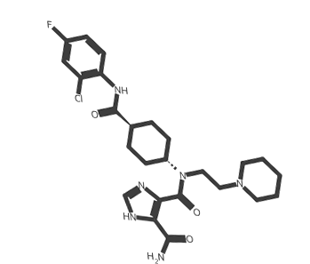 NC(=O)c1[nH]cnc1C(=O)N(CCN1CCCCC1)[C@H]1CC[C@H](C(=O)Nc2ccc(F)cc2Cl)CC1